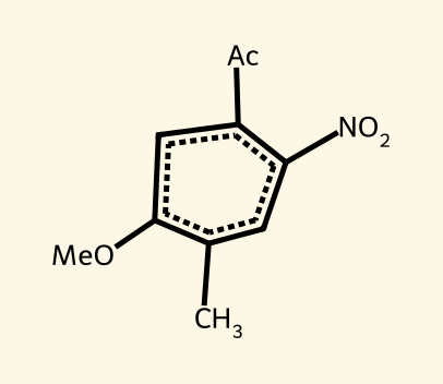 COc1cc(C(C)=O)c([N+](=O)[O-])cc1C